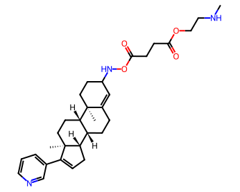 CNCCOC(=O)CCC(=O)ONC1C=C2CC[C@H]3[C@H](CC[C@]4(C)C(c5cccnc5)=CC[C@@H]34)[C@@]2(C)CC1